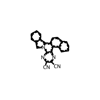 N#Cc1nc2c3c4ccccc4ccc3c3c4ccccc4cn3c2nc1C#N